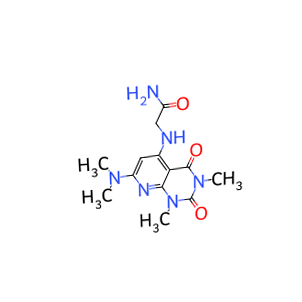 CN(C)c1cc(NCC(N)=O)c2c(=O)n(C)c(=O)n(C)c2n1